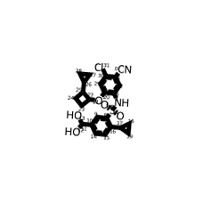 N#Cc1cc(NS(=O)(=O)c2cc(C(O)O)ccc2C2CC2)c(OC2CCC2C2CC2)cc1Cl